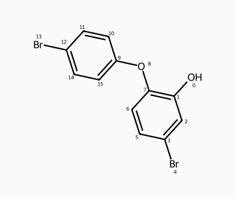 Oc1cc(Br)ccc1Oc1ccc(Br)cc1